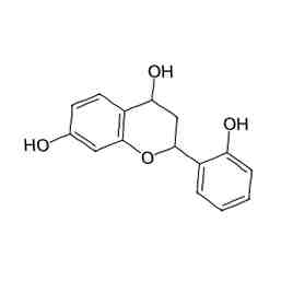 Oc1ccc2c(c1)OC(c1ccccc1O)CC2O